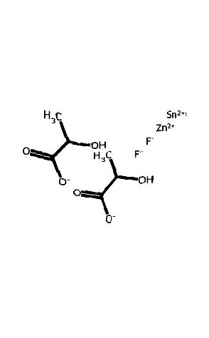 CC(O)C(=O)[O-].CC(O)C(=O)[O-].[F-].[F-].[Sn+2].[Zn+2]